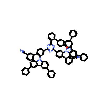 N#Cc1ccc(-c2ccccc2-c2nc(-c3ccc(-c4cccc(C#N)c4)c(-n4c5ccc(-c6ccccc6)cc5c5cc(-c6ccccc6)ccc54)c3)nc(-c3ccc(-c4cccc(C#N)c4)c(-n4c5ccc(-c6ccccc6)cc5c5cc(-c6ccccc6)ccc54)c3)n2)cc1